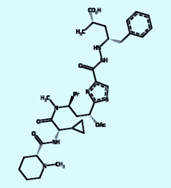 CC(=O)O[C@H](C[C@H](C(C)C)N(C)C(=O)[C@@H](NC(=O)[C@H]1CCCCN1C)C1CC1)c1nc(C(=O)NN[C@@H](Cc2ccccc2)C[C@H](C)C(=O)O)cs1